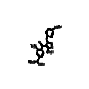 COc1ccc(Cn2nnc(C(=O)O)c2C(=O)c2ccc(C(OC)OC)cc2N)cc1